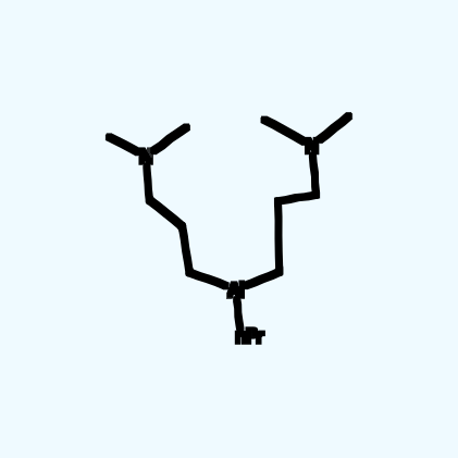 CC[CH2][Al]([CH2]CCN(C)C)[CH2]CCN(C)C